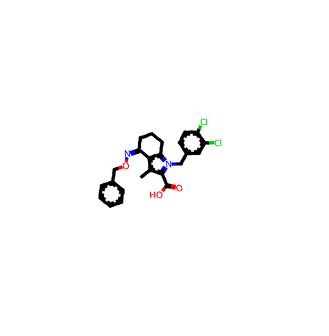 Cc1c2c(n(Cc3ccc(Cl)c(Cl)c3)c1C(=O)O)CCC/C2=N/OCc1ccccc1